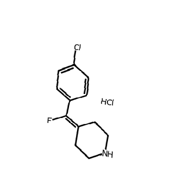 Cl.FC(=C1CCNCC1)c1ccc(Cl)cc1